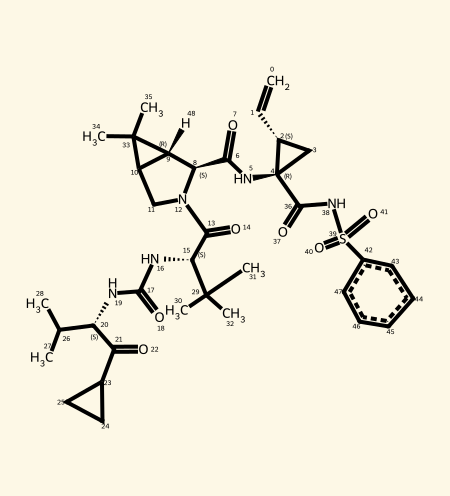 C=C[C@@H]1C[C@]1(NC(=O)[C@@H]1[C@@H]2C(CN1C(=O)[C@@H](NC(=O)N[C@H](C(=O)C1CC1)C(C)C)C(C)(C)C)C2(C)C)C(=O)NS(=O)(=O)c1ccccc1